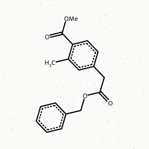 COC(=O)c1ccc(CC(=O)OCc2ccccc2)cc1C